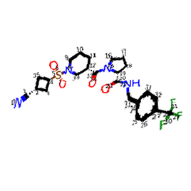 N#C[C@H]1C[C@H](S(=O)(=O)N2CCC[C@H](C(=O)N3CCC[C@@H]3C(=O)NCc3ccc(C(F)(F)F)cc3)C2)C1